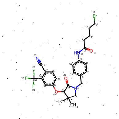 CC1(C)CN(Cc2ccc(NC(=O)CCCCBr)cc2)C(=O)C1Oc1ccc(C#N)c(C(F)(F)F)c1